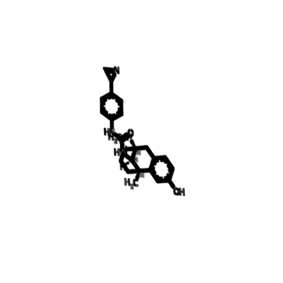 CN1CC[C@@]2(C)c3cc(O)ccc3C[C@@H]1[C@@H]2NC(=O)Nc1ccc(C2C=N2)cc1